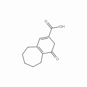 O=C(O)C1=CC2=C(CCCCC2)C(=O)C1